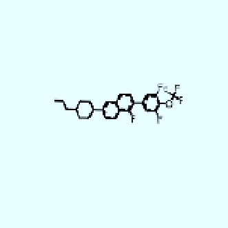 CCCC1CCC(c2ccc3c(F)c(-c4cc(F)c(OC(F)(F)F)c(F)c4)ccc3c2)CC1